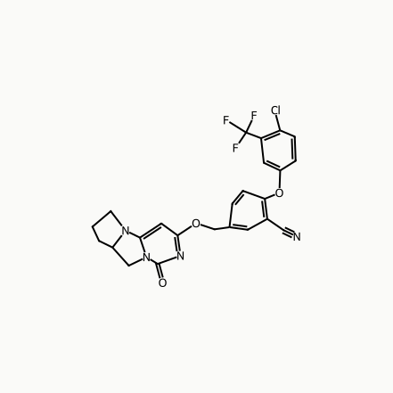 N#Cc1cc(COc2cc3n(c(=O)n2)CC2CCCN32)ccc1Oc1ccc(Cl)c(C(F)(F)F)c1